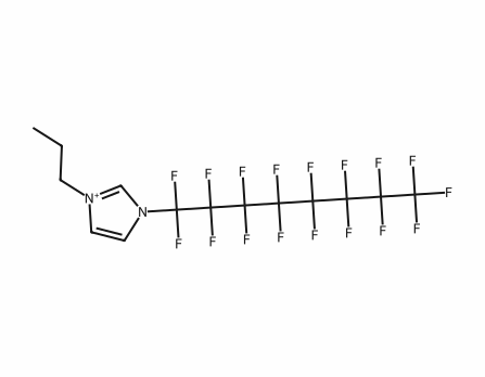 CCC[n+]1ccn(C(F)(F)C(F)(F)C(F)(F)C(F)(F)C(F)(F)C(F)(F)C(F)(F)C(F)(F)F)c1